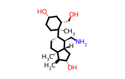 C=C1[C@@H](O)C[C@H]2[C@H](CN)[C@@H]([C@@]3(C)CC[C@H](O)C[C@@H]3CO)CC[C@]12C